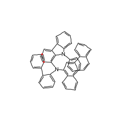 c1ccc(-c2ccccc2N(c2cc3c4ccccc4ccc3c3ccccc23)c2cccc3c4ccccc4n(-c4ccccc4)c23)cc1